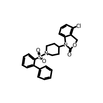 O=C1OCc2c(Cl)cccc2N1C1CCN(S(=O)(=O)c2ccccc2-c2ccccc2)CC1